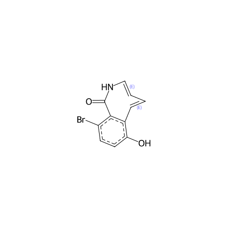 O=C1N/C=C/C=C/c2c(O)ccc(Br)c21